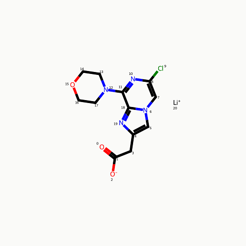 O=C([O-])Cc1cn2cc(Cl)nc(N3CCOCC3)c2n1.[Li+]